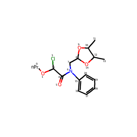 CCCOC(Cl)C(=O)N(CC1OC(C)C(C)O1)c1ccccc1